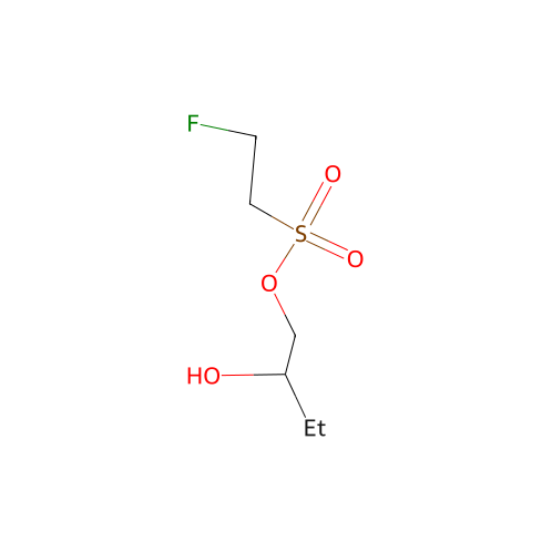 CCC(O)COS(=O)(=O)CCF